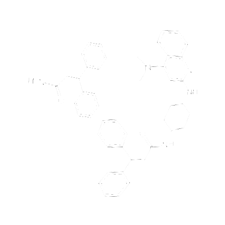 CN(C)c1cc(N[C@H]2CC[C@@H](NC(=O)CC(c3ccccc3)c3ccccc3)CC2)nc2ccccc12.NC(=O)CC(c1ccccc1)c1ccccc1